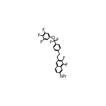 CCCc1ccc2cc(CCc3ccc(C(F)(F)Oc4cc(F)c(F)c(F)c4)cc3)c(F)c(F)c2c1